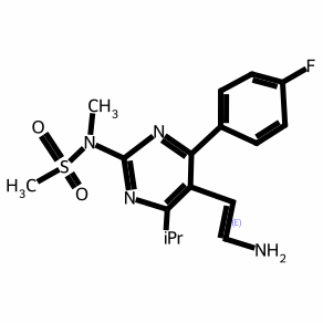 CC(C)c1nc(N(C)S(C)(=O)=O)nc(-c2ccc(F)cc2)c1/C=C/N